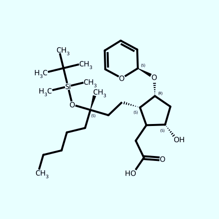 CCCCC[C@@](C)(CC[C@H]1C(CC(=O)O)[C@@H](O)C[C@H]1O[C@@H]1C=CC=CO1)O[Si](C)(C)C(C)(C)C